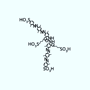 Cc1cc(S(=O)(=O)O)ccc1N=Nc1cc(C)c(N=Nc2cc(OCCCCS(=O)(=O)O)c(NC(=O)Nc3cc(C)c(N=Nc4cc(C)c(N=Nc5ccc(S(=O)(=O)O)cc5C)cc4C)cc3OCCCCS(=O)(=O)O)cc2C)cc1C